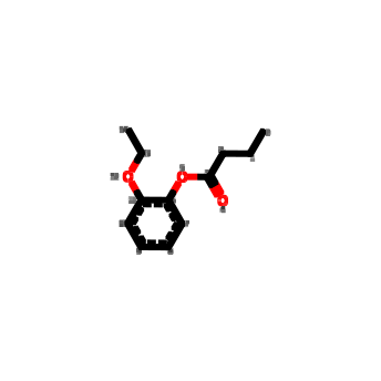 CCCC(=O)Oc1ccccc1OCC